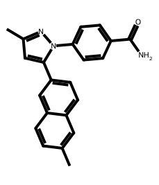 Cc1ccc2cc(-c3cc(C)nn3-c3ccc(C(N)=O)cc3)ccc2c1